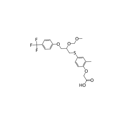 COCOC(COc1ccc(C(F)(F)F)cc1)CSc1ccc(OCC(=O)O)c(C)c1